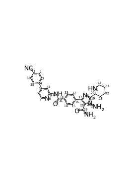 N#Cc1ccc(-c2ccnc(NC(=O)c3ccc(-c4nc(C5CCCCN5)n(N)c4C(N)=O)cc3)c2)cc1